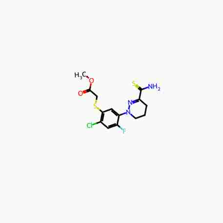 COC(=O)CSc1cc(N2CCCC(C(N)=S)=N2)c(F)cc1Cl